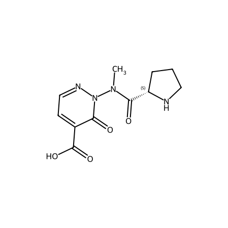 CN(C(=O)[C@@H]1CCCN1)n1nccc(C(=O)O)c1=O